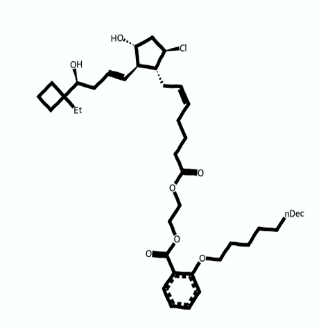 CCCCCCCCCCCCCCCOc1ccccc1C(=O)OCCOC(=O)CCC/C=C\C[C@@H]1[C@@H](/C=C/C[C@H](O)C2(CC)CCC2)[C@H](O)C[C@H]1Cl